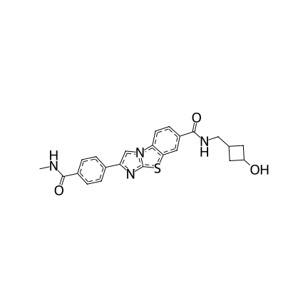 CNC(=O)c1ccc(-c2cn3c(n2)sc2cc(C(=O)NCC4CC(O)C4)ccc23)cc1